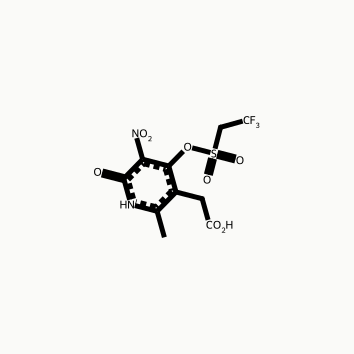 Cc1[nH]c(=O)c([N+](=O)[O-])c(OS(=O)(=O)CC(F)(F)F)c1CC(=O)O